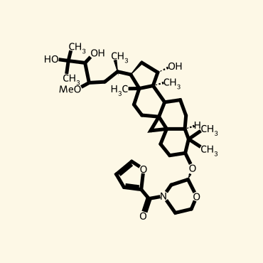 COC(C[C@@H](C)[C@H]1C[C@H](O)[C@@]2(C)C3CC[C@H]4C(C)(C)C(O[C@H]5CN(C(=O)c6ccco6)CCO5)CCC45CC35CCC12C)C(O)C(C)(C)O